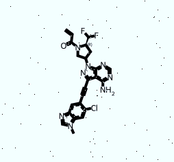 C=CC(=O)N1CC(n2nc(C#Cc3cc4ncn(C)c4cc3Cl)c3c(N)ncnc32)C[C@@H]1C(F)F